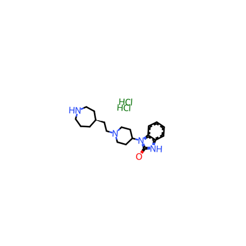 Cl.Cl.O=c1[nH]c2ccccc2n1C1CCN(CC[C@H]2CCCNCC2)CC1